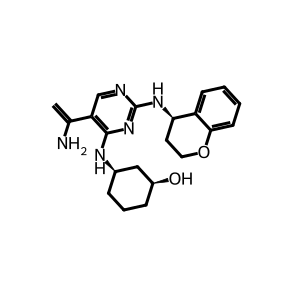 C=C(N)c1cnc(N[C@@H]2CCOc3ccccc32)nc1N[C@@H]1CCC[C@H](O)C1